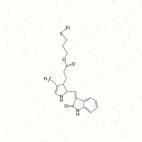 CCSCCCOC(=O)CCC1C(C)=CNC1/C=C1\C(=O)Nc2ccccc21